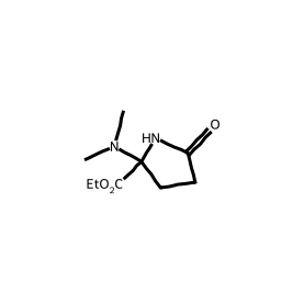 CCOC(=O)C1(N(C)C)CCC(=O)N1